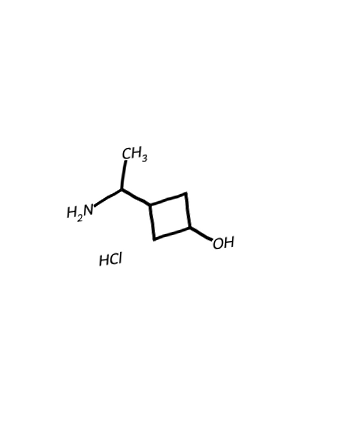 CC(N)C1CC(O)C1.Cl